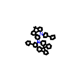 CC1(C)c2ccccc2-c2c(N(c3ccc(-c4ccccc4)cc3)c3cccc(N(c4cccc(-c5ccccc5)c4)c4cccc(C5(c6ccccc6)c6ccccc6-c6ccccc65)c4)c3)cccc21